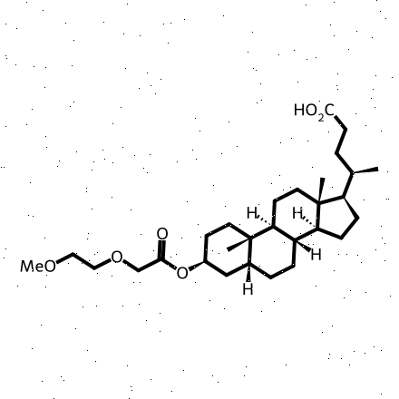 COCCOCC(=O)O[C@H]1CC[C@@]2(C)[C@H](CC[C@@H]3[C@@H]2CC[C@]2(C)[C@@H]([C@H](C)CCC(=O)O)CC[C@@H]32)C1